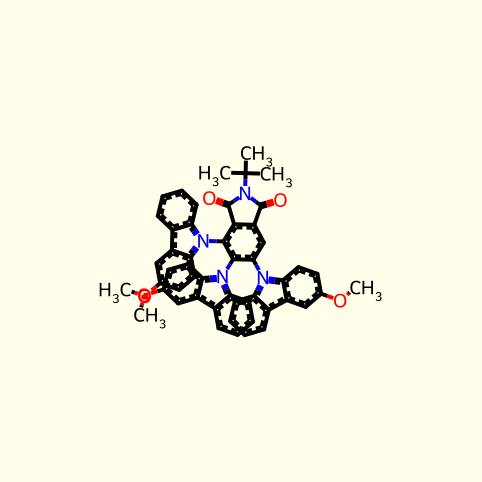 COc1ccc2c(c1)c1ccccc1n2-c1cc2c(c(-n3c4ccccc4c4cc(OC)ccc43)c1-n1c3ccccc3c3cc(OC)ccc31)C(=O)N(C(C)(C)C)C2=O